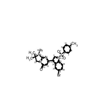 Cc1ccc(S(=O)(=O)n2cc(-c3cc(=O)n4c(n3)N(C(C)C)C(C)(C)C4)c3cc(Br)ccc32)cc1